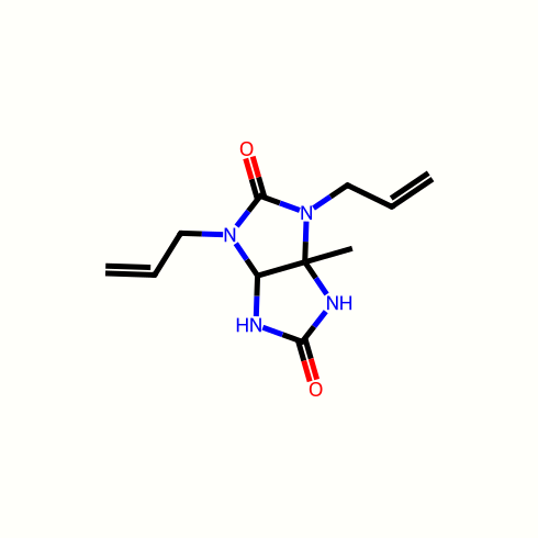 C=CCN1C(=O)N(CC=C)C2(C)NC(=O)NC12